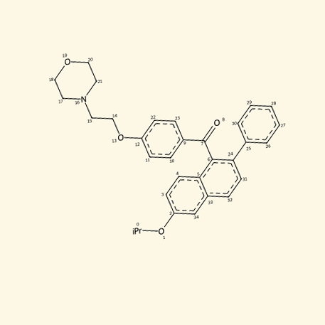 CC(C)Oc1ccc2c(C(=O)c3ccc(OCCN4CCOCC4)cc3)c(-c3ccccc3)ccc2c1